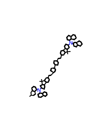 CC1C=Cc2c(cccc2N(c2ccc3c(c2)C(C)(C)c2cc(/C=C/c4ccc(-c5ccc(/C=C/c6ccc7c(c6)C(C)(C)c6cc(N(c8ccc9ccccc9c8)c8cccc9ccccc89)ccc6-7)cc5)cc4)ccc2-3)c2cccc3ccccc23)C1